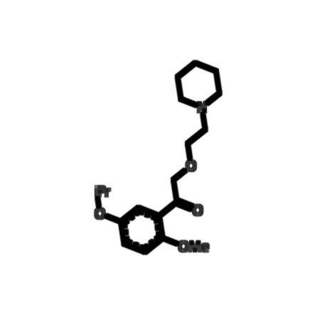 COc1ccc(OC(C)C)cc1C(=O)COCCN1CCCCC1